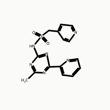 Cc1nc(NS(=O)(=O)Cc2ccncc2)nc(-c2ccccn2)n1